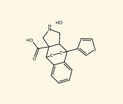 Cl.O=C(O)C12CNCC1C1(c3ccsc3)CCC2c2ccccc21